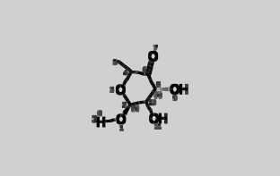 [3H]O[C@H]1OC(C)C(=O)[C@H](O)C1O